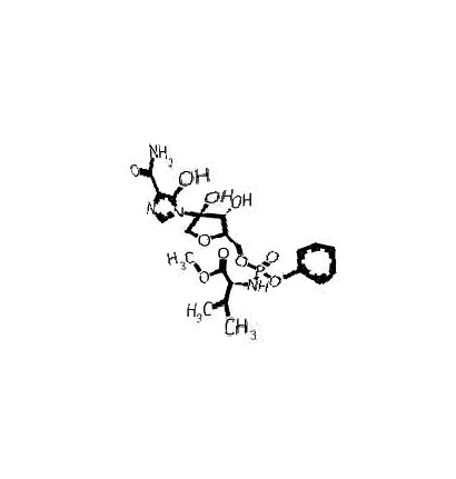 COC(=O)[C@@H](NP(=O)(OC[C@H]1OC[C@](O)(n2cnc(C(N)=O)c2O)[C@@H]1O)Oc1ccccc1)C(C)C